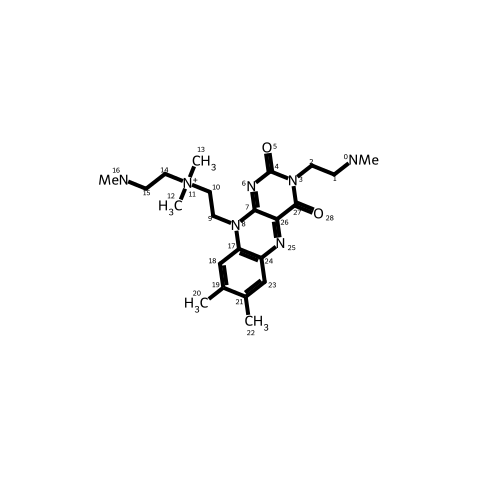 CNCCn1c(=O)nc2n(CC[N+](C)(C)CCNC)c3cc(C)c(C)cc3nc-2c1=O